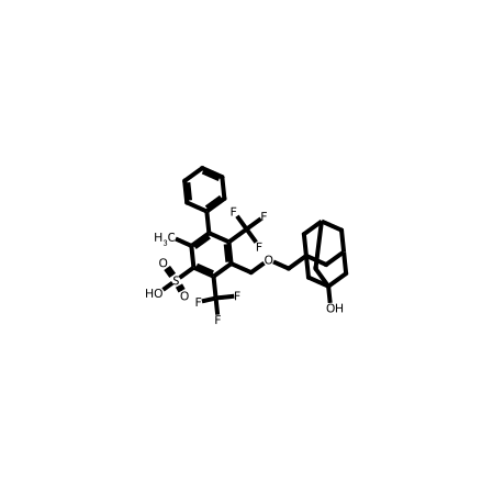 Cc1c(-c2ccccc2)c(C(F)(F)F)c(COCC23CC4CC(CC(O)(C4)C2)C3)c(C(F)(F)F)c1S(=O)(=O)O